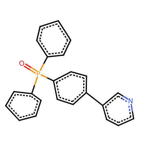 O=P(c1ccccc1)(c1ccccc1)c1ccc(-c2cccnc2)cc1